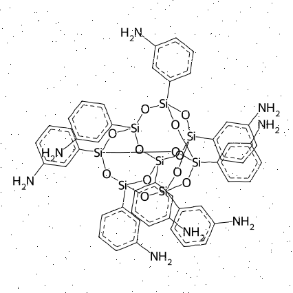 Nc1cccc([Si]23O[Si]4(c5cccc(N)c5)O[Si]5(c6cccc(N)c6)O[Si](c6cccc(N)c6)(O2)O[Si]2(c6cccc(N)c6)O[Si](c6cccc(N)c6)(O3)O[Si](c3cccc(N)c3)(O4)O[Si](c3cccc(N)c3)(O5)O2)c1